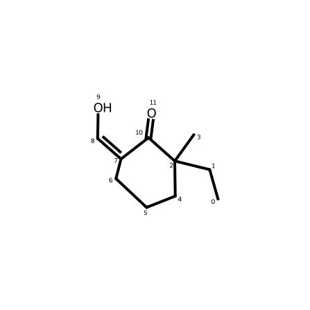 CCC1(C)CCCC(=CO)C1=O